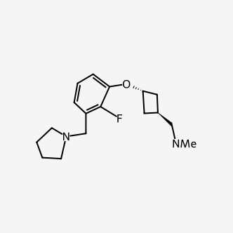 CNC[C@H]1C[C@H](Oc2cccc(CN3CCCC3)c2F)C1